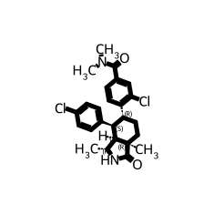 C[C@H]1NC(=O)[C@]2(C)CC[C@@H](c3ccc(C(=O)N(C)C)cc3Cl)[C@H](c3ccc(Cl)cc3)[C@H]12